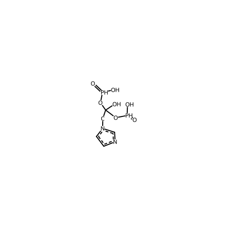 O=[PH](O)OC(O)(Cn1ccnc1)O[PH](=O)O